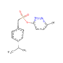 CC(c1ccc(CS(=O)(=O)Oc2ccc(C#N)nn2)cc1)C(F)(F)F